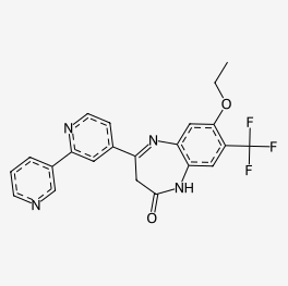 CCOc1cc2c(cc1C(F)(F)F)NC(=O)CC(c1ccnc(-c3cccnc3)c1)=N2